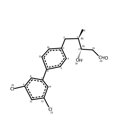 C[C@H](Cc1ccc(-c2cc(Cl)cc(Cl)c2)cc1)[C@@H](O)CC=O